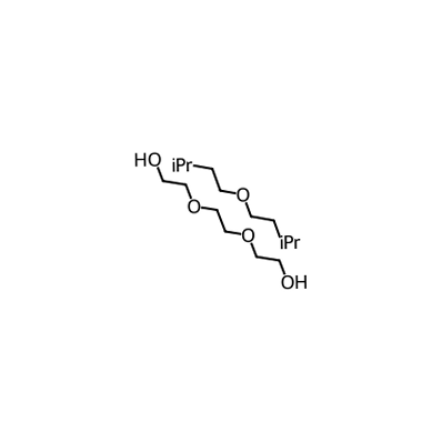 CC(C)CCOCCC(C)C.OCCOCCOCCO